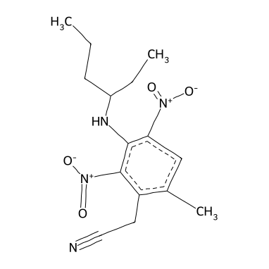 CCCC(CC)Nc1c([N+](=O)[O-])cc(C)c(CC#N)c1[N+](=O)[O-]